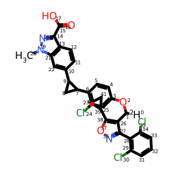 [2H]C(Oc1ccc(C2CC2c2ccc3c(C(=O)O)nn(C)c3c2)c(Cl)c1)c1c(-c2c(Cl)cccc2Cl)noc1C1CC1